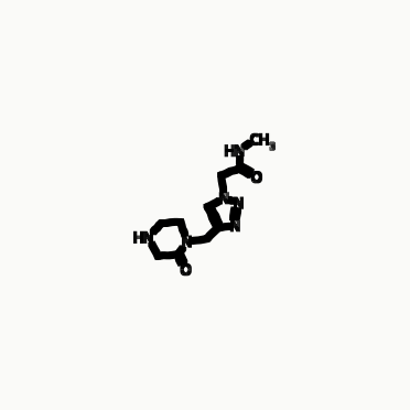 CNC(=O)Cn1cc(CN2CCNCC2=O)nn1